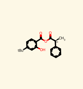 C[C@H](C(=O)OC(=O)c1ccc(C(C)(C)C)cc1O)c1ccccc1